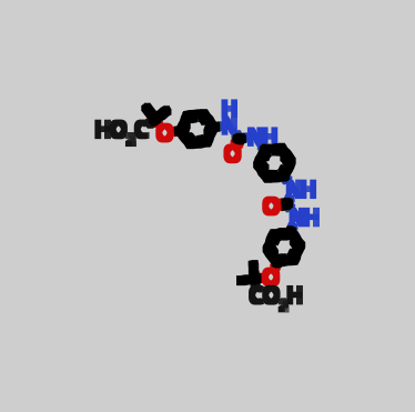 CC(C)(Oc1ccc(NC(=O)Nc2ccc(NC(=O)Nc3ccc(OC(C)(C)C(=O)O)cc3)cc2)cc1)C(=O)O